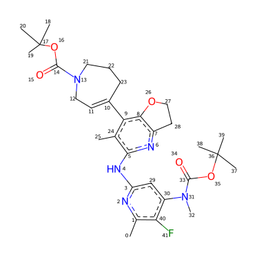 Cc1nc(Nc2nc3c(c(C4=CCN(C(=O)OC(C)(C)C)CCC4)c2C)OCC3)cc(N(C)C(=O)OC(C)(C)C)c1F